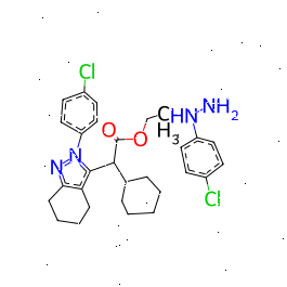 CCOC(=O)C(c1c2c(nn1-c1ccc(Cl)cc1)CCCC2)C1CCCCC1.NNc1ccc(Cl)cc1